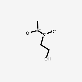 C[S+]([O-])[S+]([O-])CCO